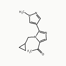 Cn1cc(-c2ncc(C(=O)C(F)(F)F)n2CC2CC2)cn1